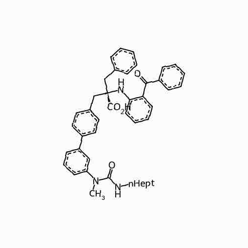 CCCCCCCNC(=O)N(C)c1cccc(-c2ccc(C[C@](Cc3ccccc3)(Nc3ccccc3C(=O)c3ccccc3)C(=O)O)cc2)c1